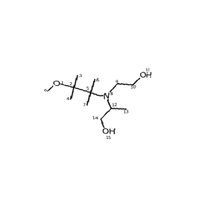 COC(C)(C)C(C)(C)N(CCO)C(C)CO